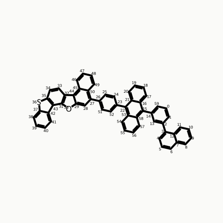 c1cc(-c2cccc3ccccc23)cc(-c2c3ccccc3c(-c3ccc(-c4cc5oc6c(ccc7sc8ccccc8c76)c5c5ccccc45)cc3)c3ccccc23)c1